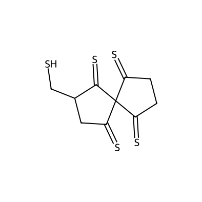 S=C1CCC(=S)C12C(=S)CC(CS)C2=S